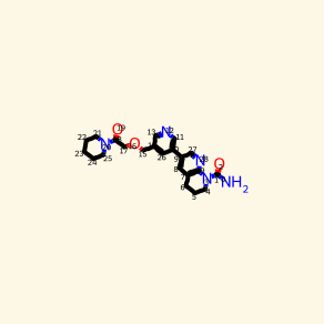 NC(=O)N1CCCc2cc(-c3cncc(COCC(=O)N4CCCCC4)c3)cnc21